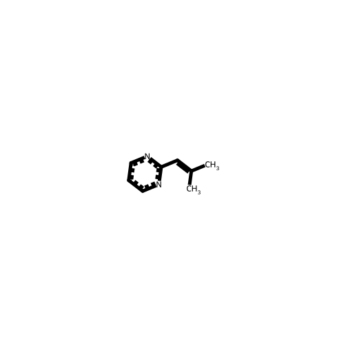 CC(C)=Cc1ncccn1